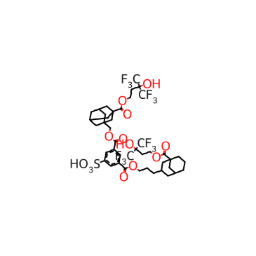 O=C(OCCCC1CC2CCCC(C(=O)OCCC(O)(C(F)(F)F)C(F)(F)F)(C1)C2)c1cc(C(=O)OCC23CC4CC(C2)CC(C(=O)OCCC(O)(C(F)(F)F)C(F)(F)F)(C4)C3)cc(S(=O)(=O)O)c1